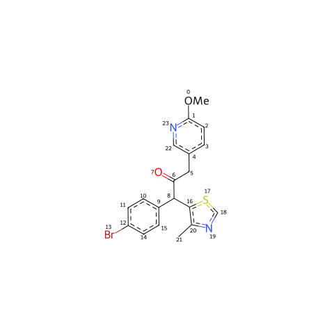 COc1ccc(CC(=O)C(c2ccc(Br)cc2)c2scnc2C)cn1